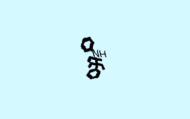 CCC(C)(Nc1ccccc1)C(CC)(CC)c1ccccc1